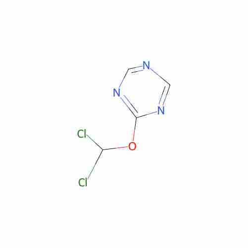 ClC(Cl)Oc1ncncn1